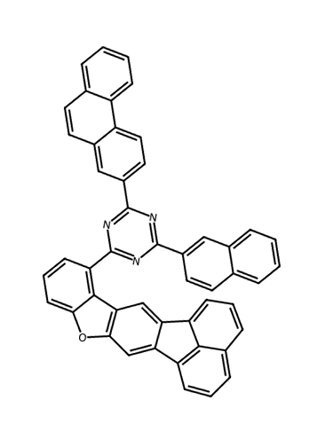 c1ccc2cc(-c3nc(-c4ccc5c(ccc6ccccc65)c4)nc(-c4cccc5oc6cc7c(cc6c45)-c4cccc5cccc-7c45)n3)ccc2c1